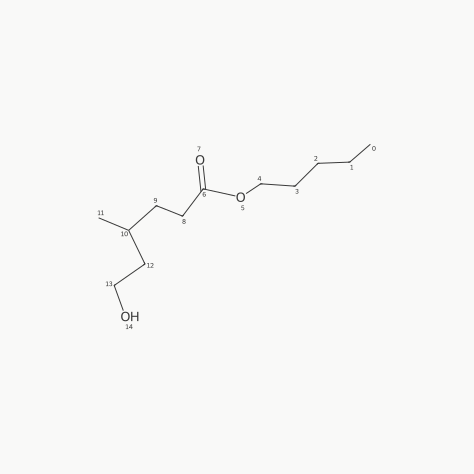 CCCCCOC(=O)CCC(C)CCO